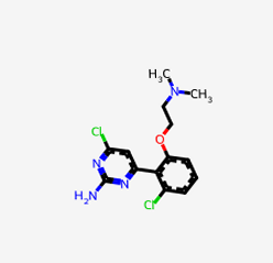 CN(C)CCOc1cccc(Cl)c1-c1cc(Cl)nc(N)n1